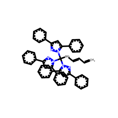 C=CC=[CH][Mn][C](n1nc(-c2ccccc2)cc1-c1ccccc1)(n1nc(-c2ccccc2)cc1-c1ccccc1)n1nc(-c2ccccc2)cc1-c1ccccc1